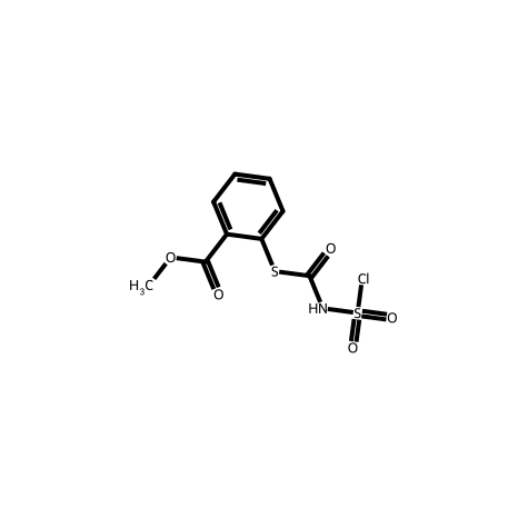 COC(=O)c1ccccc1SC(=O)NS(=O)(=O)Cl